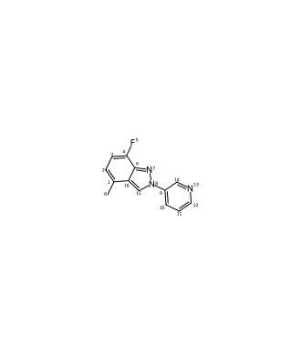 Cc1ccc(F)c2nn(-c3cccnc3)cc12